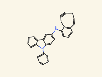 C1#CCc2c(cccc2Nc2ccc3c(c2)c2ccccc2n3-c2ccccc2)/C=C\C1